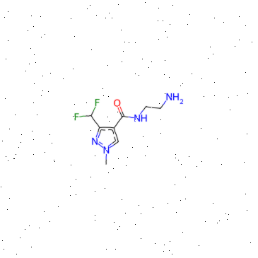 Cn1cc(C(=O)NCCN)c(C(F)F)n1